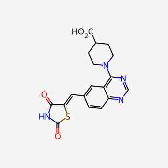 O=C1NC(=O)/C(=C/c2ccc3ncnc(N4CCC(C(=O)O)CC4)c3c2)S1